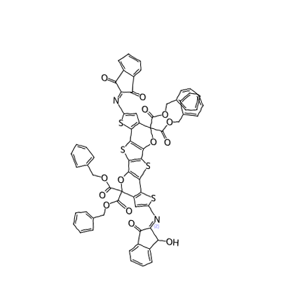 O=C1/C(=N\c2cc3c(s2)-c2sc4c5c(sc4c2OC3(C(=O)OCc2ccccc2)C(=O)OCc2ccccc2)-c2sc(N=c3c(=O)c4ccccc4c3=O)cc2C(C(=O)OCc2ccccc2)(C(=O)OCc2ccccc2)O5)C(O)c2ccccc21